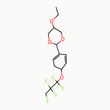 CCOC1COC(C2=CCC(OC(F)(F)C(F)(F)CF)C=C2)OC1